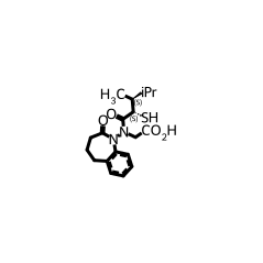 CC(C)[C@H](C)[C@H](S)C(=O)N(CC(=O)O)N1C(=O)CCCc2ccccc21